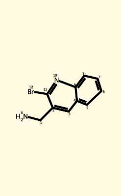 NCc1cc2ccccc2nc1Br